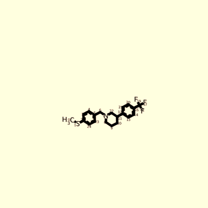 CSc1ccc(CN2CCCC(c3ccc(C(F)(F)F)cc3)C2)cc1